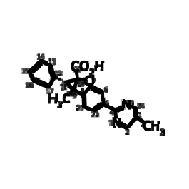 Cc1cnc(-c2ccc([C@]3(C)[C@H](c4ccccc4)[C@@]3(Cl)C(=O)O)cc2)nc1